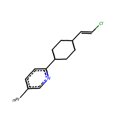 CCCc1ccc(C2CCC(/C=C/Cl)CC2)nc1